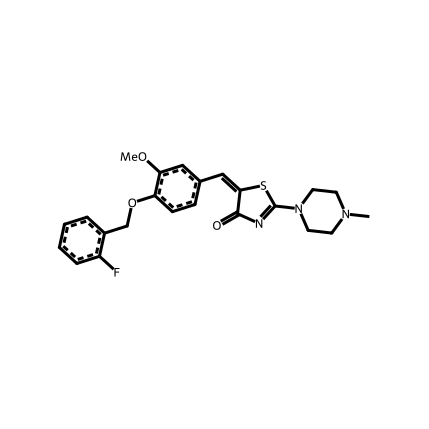 COc1cc(C=C2SC(N3CCN(C)CC3)=NC2=O)ccc1OCc1ccccc1F